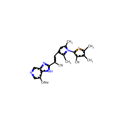 COc1cncc2nc(C(C#N)=Cc3cc(C)n(-c4sc(C)c(C)c4C#N)c3C)[nH]c12